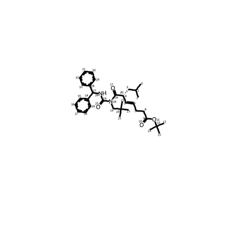 CC(C)C[C@H](C=CCCC(=O)OC(C)(C)C)C(=O)N(CC(C)(C)C)C(=O)NC(c1ccccc1)c1ccccc1